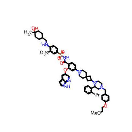 COCCOc1ccc(CN2CCN(C3CC4(CCN(c5ccc(C(=O)NS(=O)(=O)c6ccc(NCC7CCC(C)(O)CC7)c([N+](=O)[O-])c6)c(Oc6cnc7[nH]ccc7c6)c5)CC4)C3)C(c3ccccc3C(C)C)C2)cc1